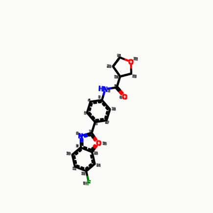 O=C(Nc1ccc(-c2nc3ccc(F)cc3o2)cc1)C1CCOC1